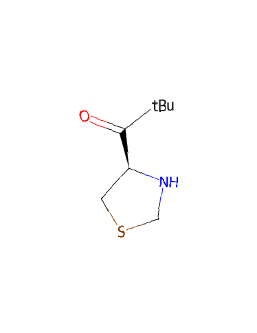 CC(C)(C)C(=O)[C@@H]1CSCN1